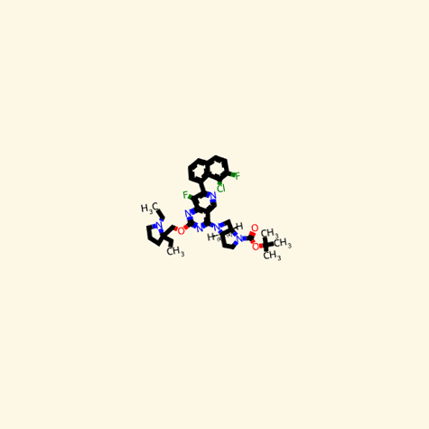 CCN1CCCC1(CC)COc1nc(N2C[C@@H]3[C@H]2CCN3C(=O)OC(C)(C)C)c2cnc(-c3cccc4ccc(F)c(Cl)c34)c(F)c2n1